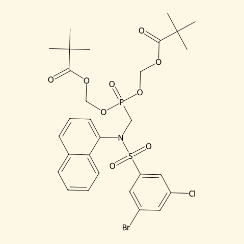 CC(C)(C)C(=O)OCOP(=O)(CN(c1cccc2ccccc12)S(=O)(=O)c1cc(Cl)cc(Br)c1)OCOC(=O)C(C)(C)C